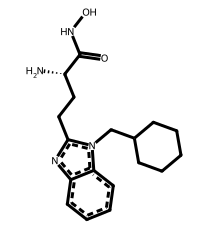 N[C@@H](CCc1nc2ccccc2n1CC1CCCCC1)C(=O)NO